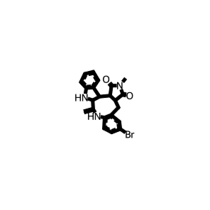 C=C1Nc2ccc(Br)cc2CC2C(=O)N(C)C(=O)C2C2c3ccccc3NC12